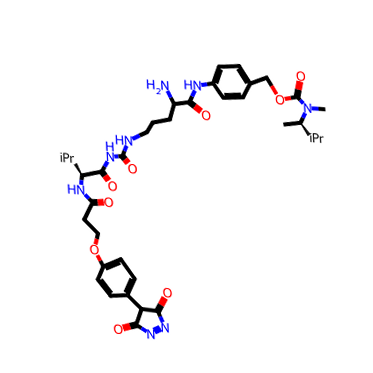 CC(C)[C@H](NC(=O)CCOc1ccc(C2C(=O)N=NC2=O)cc1)C(=O)NC(=O)NCCCC(N)C(=O)Nc1ccc(COC(=O)N(C)[C@H](C)C(C)C)cc1